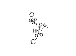 Cc1ccc(S(=O)(=O)OCC[C@H](O[Si](C)(C)C(C)(C)C)C(C)NC(=O)OCc2ccccc2)cc1